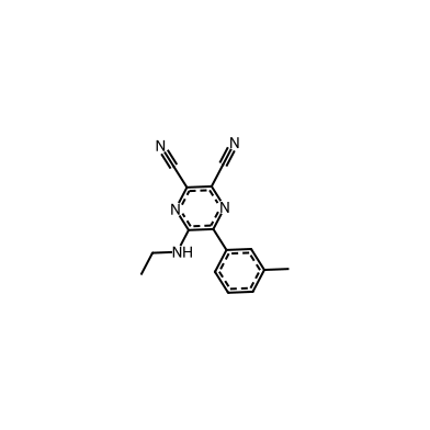 CCNc1nc(C#N)c(C#N)nc1-c1cccc(C)c1